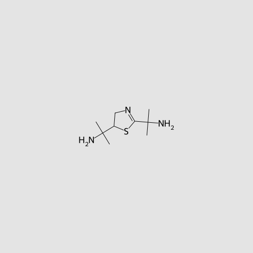 CC(C)(N)C1=NCC(C(C)(C)N)S1